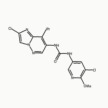 COc1ncc(NC(=O)Nc2cnn3cc(Cl)nc3c2C(C)C)cc1Cl